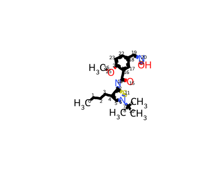 CCCCc1cn(C(C)(C)C)s/c1=N\C(=O)c1cc(/C=N\O)ccc1OC